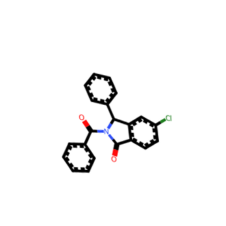 O=C(c1ccccc1)N1C(=O)c2ccc(Cl)cc2C1c1ccccc1